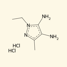 CCn1nc(C)c(N)c1N.Cl.Cl